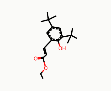 CCOC(=O)/C=C/c1cc(C(C)(C)C)cc(C(C)(C)C)c1O